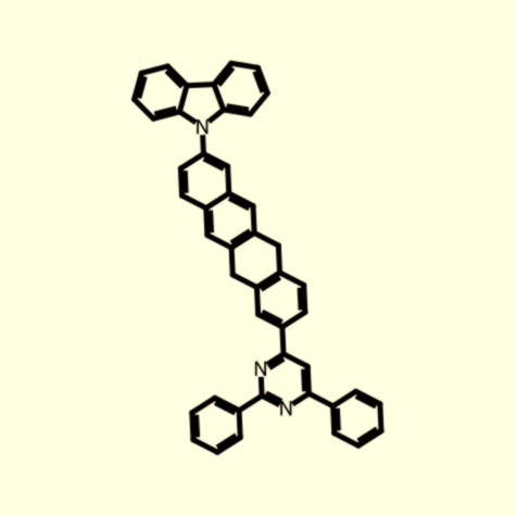 c1ccc(-c2cc(-c3ccc4c(c3)Cc3cc5ccc(-n6c7ccccc7c7ccccc76)cc5cc3C4)nc(-c3ccccc3)n2)cc1